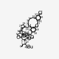 C=CC(C[C@H](C[C@@H]1CCCO1)S(=O)(=O)NC(=O)c1ccc2c(c1)N(C[C@@H]1CC[C@H]1[C@H](C)O)CCCCc1cc(Cl)ccc1CO2)C(C)CC